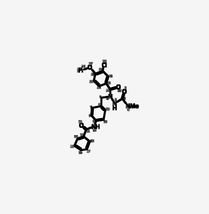 CNC(=O)NN(Cc1ccc(NC(=O)c2ccccc2)cc1)C(=O)c1ccc(OC(C)C)c(Cl)c1